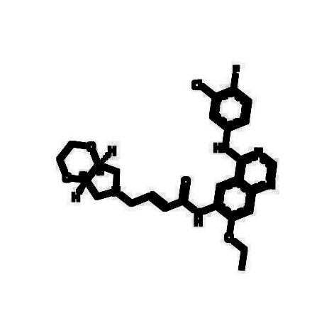 CCOc1cc2ncnc(Nc3ccc(F)c(Cl)c3)c2cc1NC(=O)C=CCN1C[C@@H]2OCCO[C@H]2C1